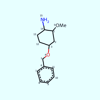 COC1CC(OCc2ccccc2)CCC1N